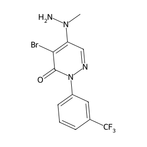 CN(N)c1cnn(-c2cccc(C(F)(F)F)c2)c(=O)c1Br